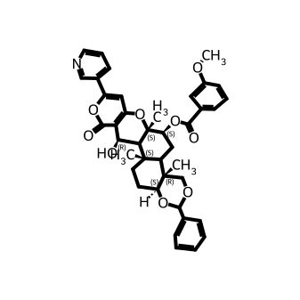 COc1cccc(C(=O)O[C@H]2CC3[C@](C)(CC[C@@H]4OC(c5ccccc5)OC[C@@]34C)C3[C@@H](O)c4c(cc(-c5cccnc5)oc4=O)O[C@@]32C)c1